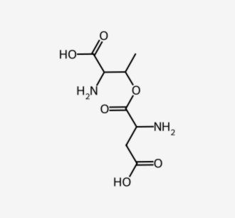 CC(OC(=O)C(N)CC(=O)O)C(N)C(=O)O